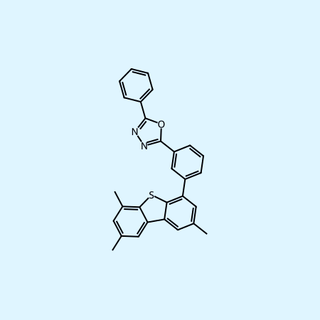 Cc1cc(C)c2sc3c(-c4cccc(-c5nnc(-c6ccccc6)o5)c4)cc(C)cc3c2c1